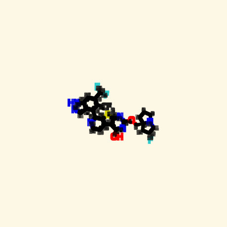 Oc1nc(OC[C@@]23CCCN2C[C@H](F)C3)nc2sc3c(-c4c(C(F)(F)F)c(C(F)F)cc5[nH]ncc45)nccc3c12